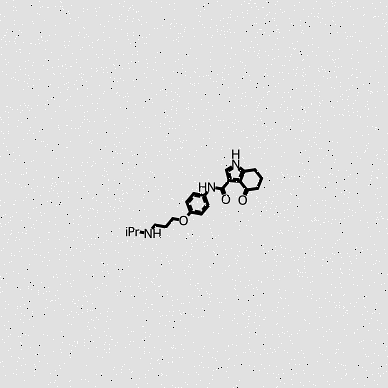 CC(C)NCCCOc1ccc(NC(=O)c2c[nH]c3c2C(=O)CCC3)cc1